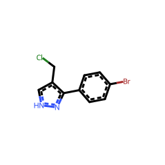 ClCc1c[nH]nc1-c1ccc(Br)cc1